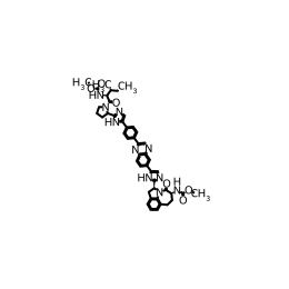 CC[C@H](C)[C@H](NC(=O)OC)C(=O)N1CCCC1c1ncc(-c2ccc(-c3cnc4cc(-c5cnc([C@@H]6Cc7cccc8c7N6C(=O)[C@@H](NC(=O)OC)CC8)[nH]5)ccc4n3)cc2)[nH]1